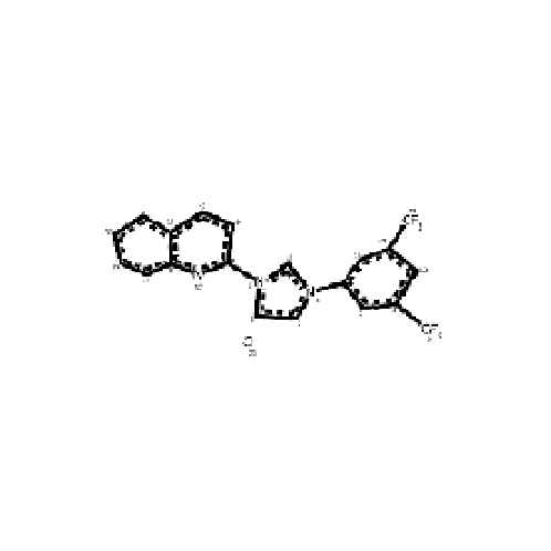 FC(F)(F)c1cc(-n2cc[n+](-c3ccc4ccccc4n3)c2)cc(C(F)(F)F)c1.[Cl-]